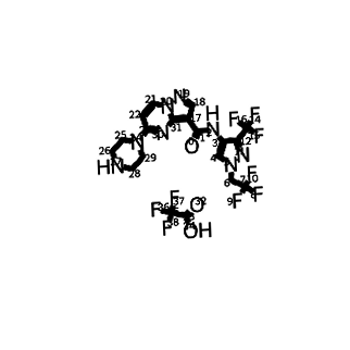 O=C(Nc1cn(CC(F)(F)F)nc1C(F)(F)F)c1cnn2ccc(N3CCNCC3)nc12.O=C(O)C(F)(F)F